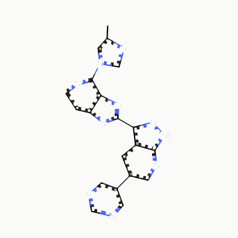 Cc1cn(-c2nccc3[nH]c(-c4n[nH]c5ncc(-c6cncnc6)cc45)nc23)cn1